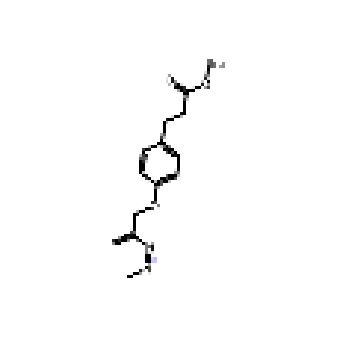 C=C(COc1ccc(CCC(=O)OC(C)(C)C)cc1)/N=N\C